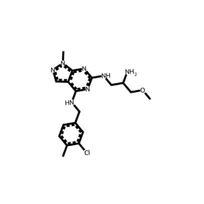 COCC(N)CNc1nc(NCc2ccc(C)c(Cl)c2)c2cnn(C)c2n1